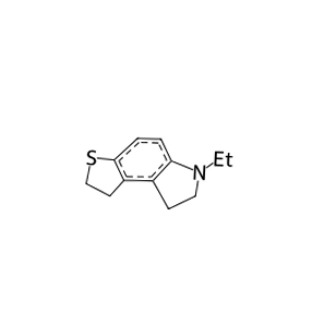 CCN1CCc2c1ccc1c2CCS1